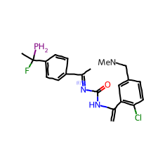 C=C(NC(=O)/N=C(\C)c1ccc(C(C)(F)P)cc1)c1cc(CNC)ccc1Cl